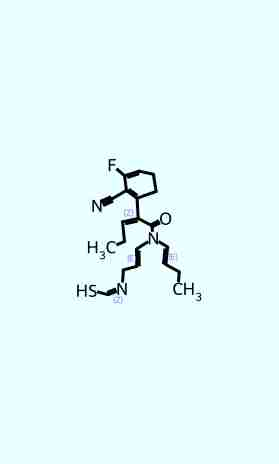 CC/C=C(\C(=O)N(/C=C/CC)/C=C/C/N=C\S)C1=C(C#N)C(F)=CCC1